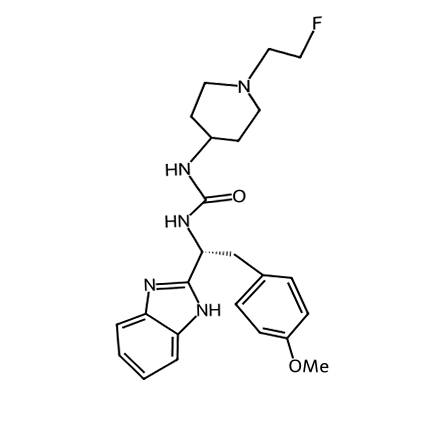 COc1ccc(C[C@@H](NC(=O)NC2CCN(CCF)CC2)c2nc3ccccc3[nH]2)cc1